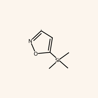 C[Si](C)(C)c1c[c]no1